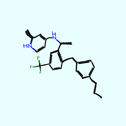 C=C1C=C(NC(=C)c2cc(C(F)(F)F)ccc2Cc2ccc(CCC)cc2)C=CN1